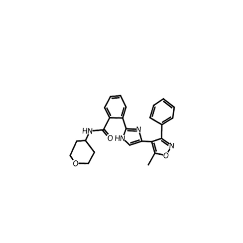 Cc1onc(-c2ccccc2)c1-c1c[nH]c(-c2ccccc2C(=O)NC2CCOCC2)n1